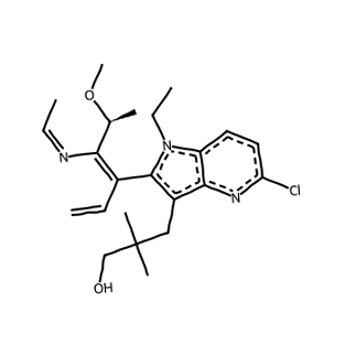 C=C/C(=C(\N=C/C)[C@H](C)OC)c1c(CC(C)(C)CO)c2nc(Cl)ccc2n1CC